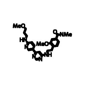 CNC(=O)c1ccc(CCNc2cc(-c3ccc(NCCCOC)nc3)ncn2)c(OC)c1